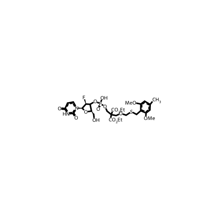 CCOC(=O)C(COCSCc1c(OC)cc(C)cc1OC)(COP(=O)(O)OC1[C@@H](CO)O[C@@H](n2ccc(=O)[nH]c2=O)[C@H]1F)C(=O)OCC